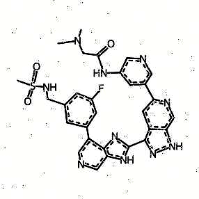 CN(C)CC(=O)Nc1cncc(-c2cc3c(-c4nc5c(-c6cc(F)cc(CNS(C)(=O)=O)c6)cncc5[nH]4)n[nH]c3cn2)c1